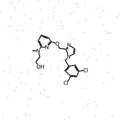 CN(CCO)c1cccc(OCc2nccn2Cc2cc(Cl)cc(Cl)c2)n1